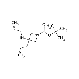 C=CCNC1(CC=C)CN(C(=O)OC(C)(C)C)C1